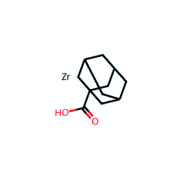 O=C(O)C12CC3CC(CC(C3)C1)C2.[Zr]